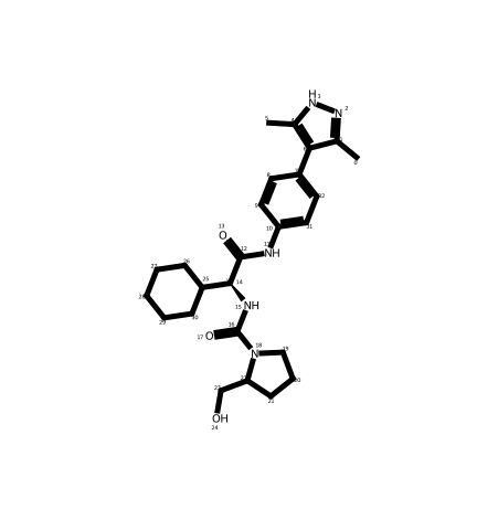 Cc1n[nH]c(C)c1-c1ccc(NC(=O)[C@@H](NC(=O)N2CCCC2CO)C2CCCCC2)cc1